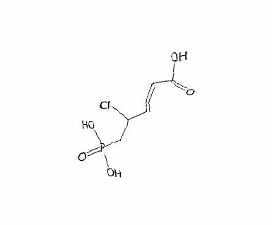 O=C(O)C=CC(Cl)CP(=O)(O)O